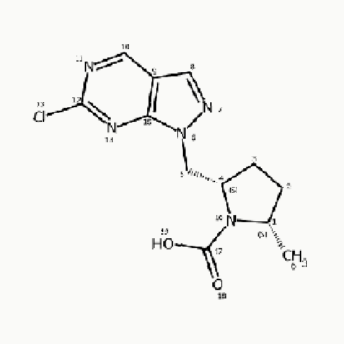 C[C@H]1CC[C@@H](Cn2ncc3cnc(Cl)nc32)N1C(=O)O